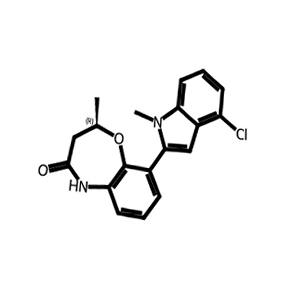 C[C@@H]1CC(=O)Nc2cccc(-c3cc4c(Cl)cccc4n3C)c2O1